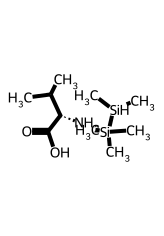 CC(C)[C@H](N)C(=O)O.C[SiH](C)[Si](C)(C)C